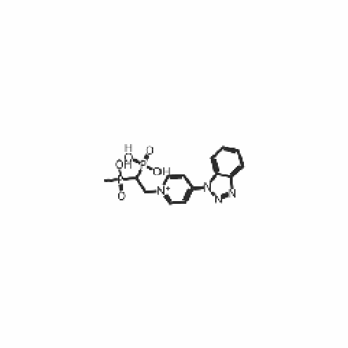 CP(=O)(O)C(C[n+]1ccc(-n2nnc3ccccc32)cc1)P(=O)(O)O